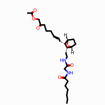 CCCCCCC(=O)NCC(=O)NCC[C@@H]1[C@H](CC=CCCCC(=O)COC(C)=O)[C@@H]2CC[C@H]1O2